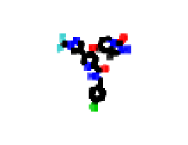 O=C(NCc1ccc(Cl)cc1)c1cc(O[C@H]2CCN3C(=O)NC[C@@H]3C2)c(-c2cnn(C(F)F)c2)cn1